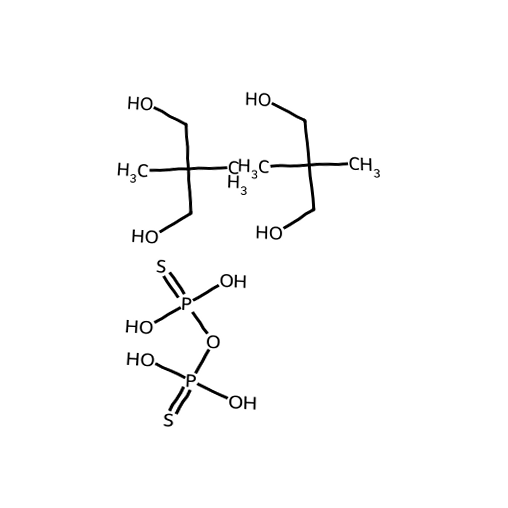 CC(C)(CO)CO.CC(C)(CO)CO.OP(O)(=S)OP(O)(O)=S